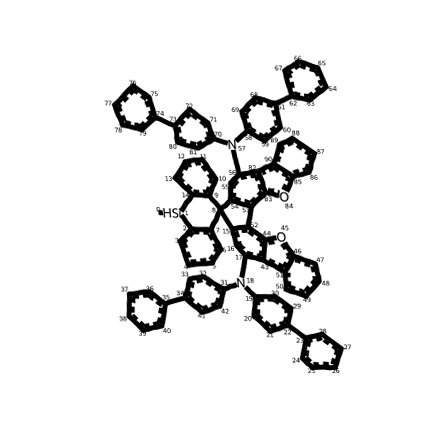 C[SiH]1c2ccccc2C2(c3ccccc31)c1cc(N(c3ccc(-c4ccccc4)cc3)c3ccc(-c4ccccc4)cc3)c3c(oc4ccccc43)c1-c1c2cc(N(c2ccc(-c3ccccc3)cc2)c2ccc(-c3ccccc3)cc2)c2c1oc1ccccc12